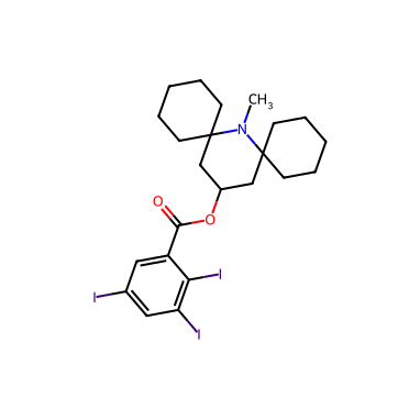 CN1C2(CCCCC2)CC(OC(=O)c2cc(I)cc(I)c2I)CC12CCCCC2